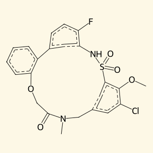 COc1c(Cl)cc2cc1S(=O)(=O)Nc1cc(ccc1F)-c1ccccc1OCC(=O)N(C)C2